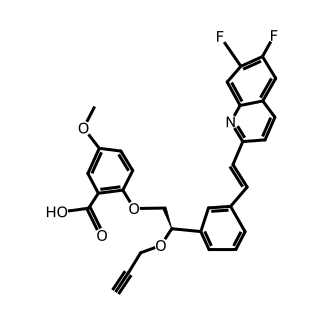 C#CCO[C@@H](COc1ccc(OC)cc1C(=O)O)c1cccc(/C=C/c2ccc3cc(F)c(F)cc3n2)c1